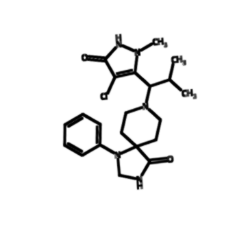 CC(C)C(c1c(Cl)c(=O)[nH]n1C)N1CCC2(CC1)C(=O)NCN2c1ccccc1